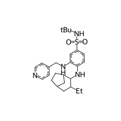 CCC1CC2CCC(C2)C1Nc1ccc(S(=O)(=O)NC(C)(C)C)cc1NCc1ccncc1